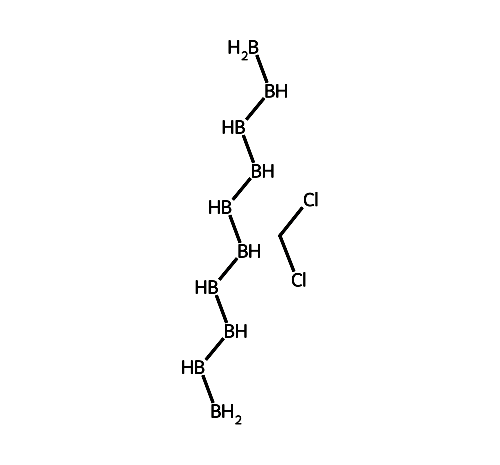 BBBBBBBBBB.ClCCl